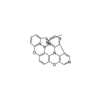 Cc1cc2n(n1)[N+]13c4c(ccc5c4-n4c6c(cncc6c6ncc[n+]1c64)O5)Oc1cccc-2[n+]13